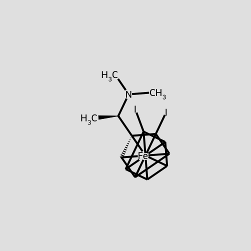 C[C@@H](N(C)C)[C@@]12[CH]3[CH]4[CH]5[C]1(I)[Fe]45321678[CH]2[CH]1[CH]6[C]7(I)[CH]28